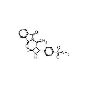 C=C([C@H]1C(=O)N[C@H]1c1ccc(S(N)(=O)=O)cc1)N1C(=O)c2ccccc2C1=O